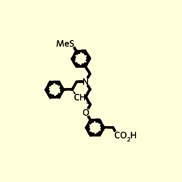 CSc1ccc(CN(CCCOc2cccc(CC(=O)O)c2)C[C@H](C)c2ccccc2)cc1